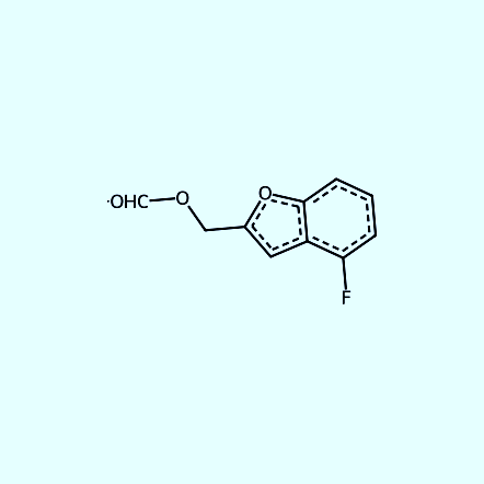 O=[C]OCc1cc2c(F)cccc2o1